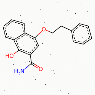 NC(=O)c1cc(OCCc2ccccc2)c2ccccc2c1O